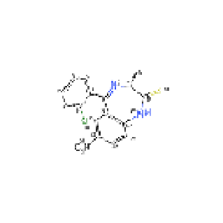 CC1N=C(c2ccccc2Cl)c2cc([N+](=O)[O-])ccc2NC1=S